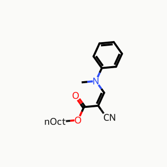 CCCCCCCCOC(=O)/C(C#N)=C\N(C)c1ccccc1